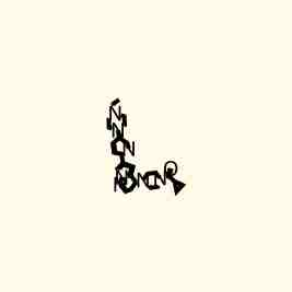 CCN1CCN(C2C=CC(c3cc4n(c3)N=CCC4N3CCN(C(=O)C4CC4)CC3)=NC2)CC1